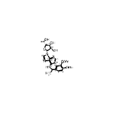 COc1ccc(C(C)Nc2ncnc3c2ncn3[C@@H]2O[C@H](CO)[C@@H](O)[C@H]2O)cc1OC